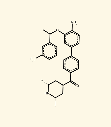 CC(Oc1cc(-c2ccc(C(=O)N3C[C@@H](C)N[C@@H](C)C3)cc2)cnc1N)c1cccc(C(F)(F)F)c1